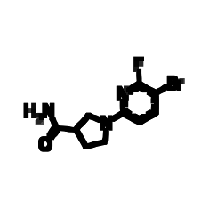 NC(=O)C1CCN(c2ccc(Br)c(F)n2)C1